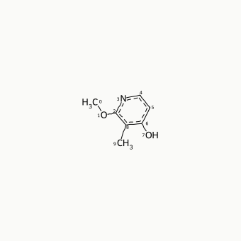 COc1nccc(O)c1C